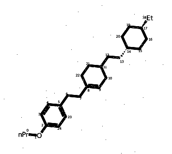 CCCOc1ccc(CCC2=CCC(CC[C@H]3CC[C@H](CC)CC3)CC2)cc1